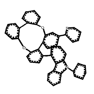 c1ccc(-n2c3ccccc3c3c(-c4cccc5c4-c4ccc(-c6ccccn6)cc4Oc4ccccc4-c4ccccc4O5)cccc32)cc1